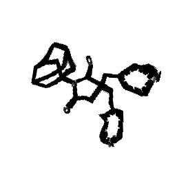 O=C1CC(Cc2ccncc2)(Cc2ccncc2)C(=O)N1C12CC3CC(CC(C3)C1)C2